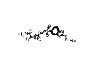 CCCCCCSc1nc2ccc(S(=O)(=O)CCOC(=O)CNC(C(N)=O)C(C)C)cc2s1